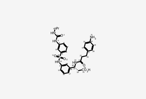 CCCNC(=O)Nc1cccc(S(=O)(=O)Nc2cccc([C@@H](CC(=O)O)NC(=O)CCc3ccc(N)cc3)c2)c1